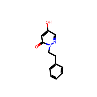 O=c1cc(O)cnn1CCc1ccccc1